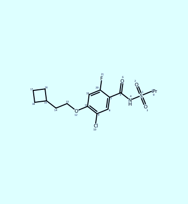 CC(C)S(=O)(=O)NC(=O)c1cc(Cl)c(OCCC2CCC2)cc1F